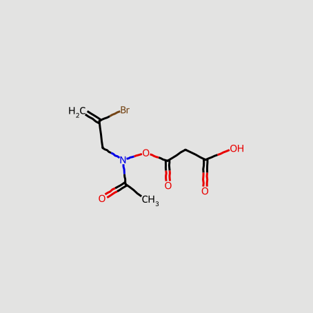 C=C(Br)CN(OC(=O)CC(=O)O)C(C)=O